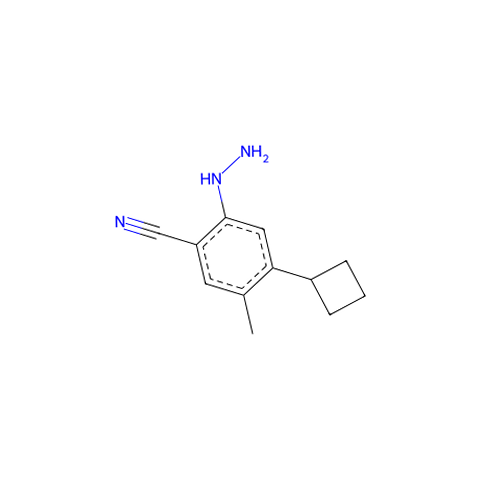 Cc1cc(C#N)c(NN)cc1C1CCC1